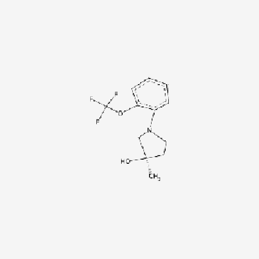 C[C@@]1(O)CCN(c2c[c]ccc2OC(F)(F)F)C1